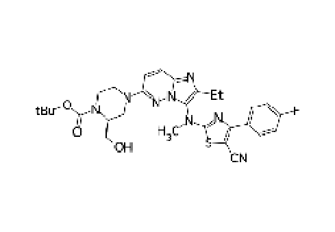 CCc1nc2ccc(N3CCN(C(=O)OC(C)(C)C)[C@H](CO)C3)nn2c1N(C)c1nc(-c2ccc(F)cc2)c(C#N)s1